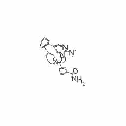 CN(C)c1ncc(-c2ccccc2C2CCCN(C(=O)c3cccc(C(N)=O)c3)C2)cn1